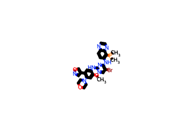 COc1cc(N2CCOCC2)c(-c2cnoc2)cc1Nc1ncc(Br)c(Nc2ccc3nccnc3c2P(C)C)n1